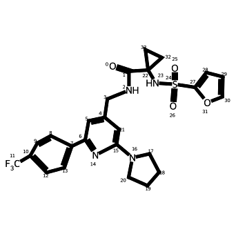 O=C(NCc1cc(-c2ccc(C(F)(F)F)cc2)nc(N2CCCC2)c1)C1(NS(=O)(=O)c2ccco2)CC1